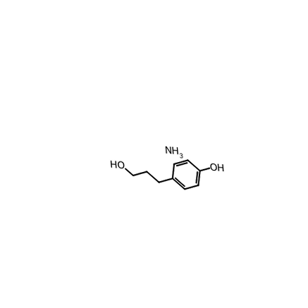 N.OCCCc1ccc(O)cc1